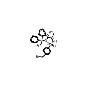 CC(C)C[C@H](NS(=O)(=O)c1ccc(CBr)cc1)C(=O)O[Si](CC(C)C)(c1ccccc1)c1ccccc1